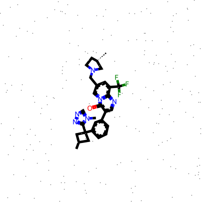 CC1CC(c2cccc(-c3cnc4c(C(F)(F)F)cc(CN5CC[C@H](C)C5)cn4c3=O)c2)(c2nncn2C)C1